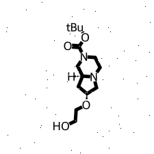 CC(C)(C)OC(=O)N1CCN2C[C@H](OCCO)C[C@H]2C1